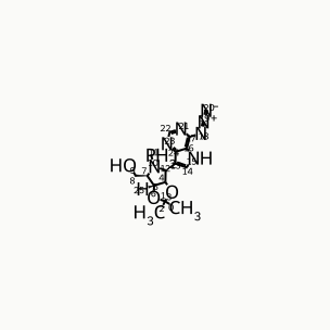 CC1(C)OC2[C@H](O1)[C@@H](CO)N(P)[C@H]2c1c[nH]c2c(N=[N+]=[N-])ncnc12